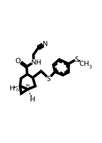 CSc1ccc(SCC2C[C@H]3C[C@H]3CC2C(=O)NCC#N)cc1